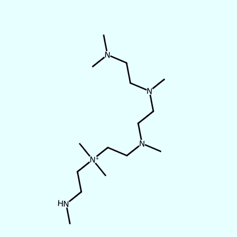 CNCC[N+](C)(C)CCN(C)CCN(C)CCN(C)C